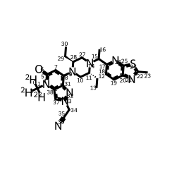 [2H]C([2H])([2H])n1c(=O)cc(N2C[C@@H](CC)N(C(C)c3ccc4nc(C)sc4n3)C[C@@H]2CC)c2nn(CC#N)cc21